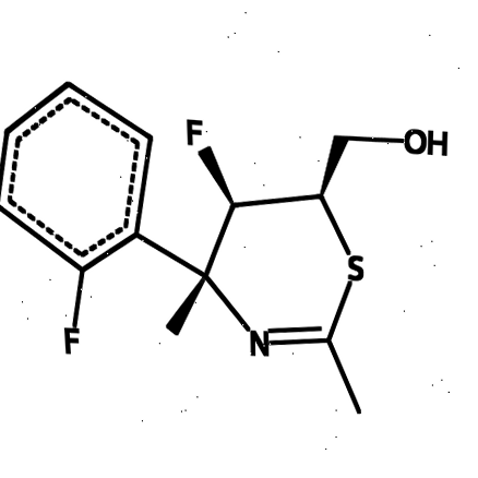 CC1=N[C@](C)(c2ccccc2F)[C@@H](F)[C@@H](CO)S1